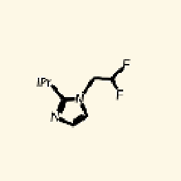 CC(C)c1nccn1CC(F)F